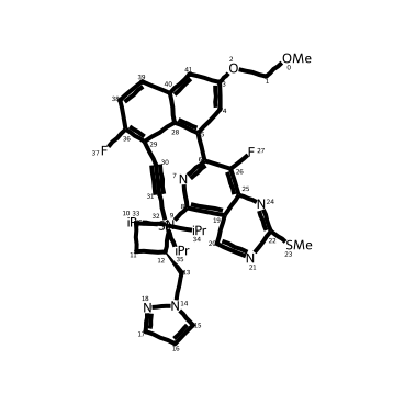 COCOc1cc(-c2nc(N3CC[C@@H]3Cn3cccn3)c3cnc(SC)nc3c2F)c2c(C#C[Si](C(C)C)(C(C)C)C(C)C)c(F)ccc2c1